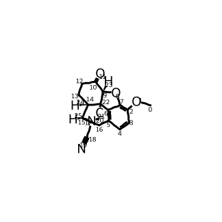 COc1ccc2c3c1O[C@H]1C(=O)CC[C@H]4[C@@H](C2)N(C#N)CC[C@]314